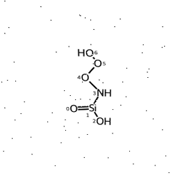 O=[Si](O)NOOO